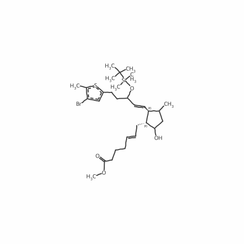 COC(=O)CCCC=CC[C@H]1C(O)CC(C)[C@@H]1C=CC(CCc1cc(Br)c(C)s1)O[Si](C)(C)C(C)(C)C